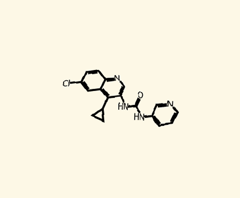 O=C(Nc1cccnc1)Nc1cnc2ccc(Cl)cc2c1C1CC1